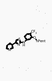 CCCCCOc1cc(Nc2nc(-c3cccnc3)cs2)ccc1C(F)(F)F